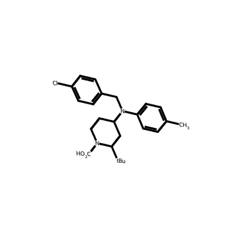 Cc1ccc(N(Cc2ccc(Cl)cc2)C2CCN(C(=O)O)C(C(C)(C)C)C2)cc1